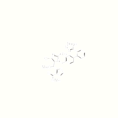 CCCCc1nc(Cl)c(C(OC)c2sccc2C(=O)OC)n1Cc1ccc(-c2ccccc2-c2nnn[nH]2)cc1